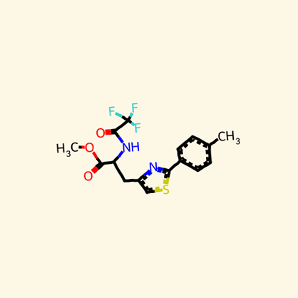 COC(=O)C(Cc1csc(-c2ccc(C)cc2)n1)NC(=O)C(F)(F)F